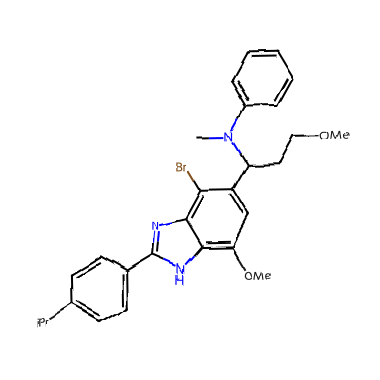 COCCC(c1cc(OC)c2[nH]c(-c3ccc(C(C)C)cc3)nc2c1Br)N(C)c1ccccc1